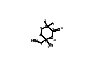 CC(C)C1(CO)CCC(C)(C)C(=O)O1